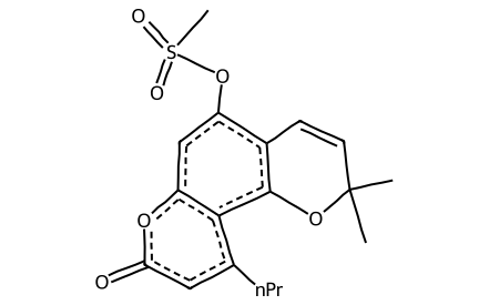 CCCc1cc(=O)oc2cc(OS(C)(=O)=O)c3c(c12)OC(C)(C)C=C3